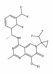 CCOc1c(=O)n(C2(C(F)F)CC2)cc2c(N[C@H](C)C3C=CC=C(C(F)F)C3F)nc(C)nc12